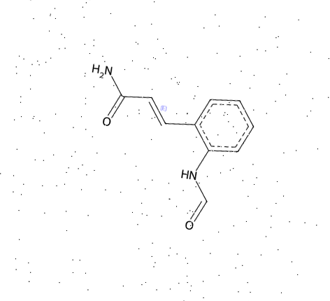 NC(=O)/C=C/c1ccccc1NC=O